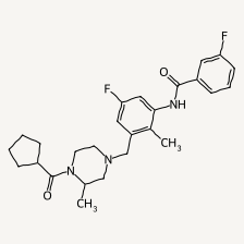 Cc1c(CN2CCN(C(=O)C3CCCC3)C(C)C2)cc(F)cc1NC(=O)c1cccc(F)c1